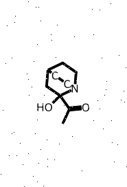 CC(=O)C1(O)CC2CCN1CC2